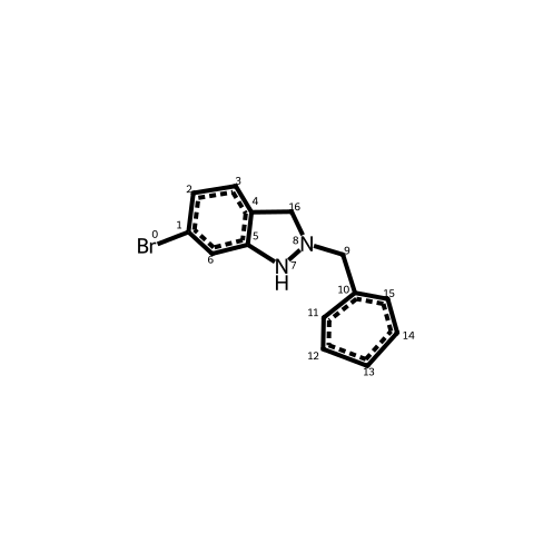 Brc1ccc2c(c1)NN(Cc1ccccc1)C2